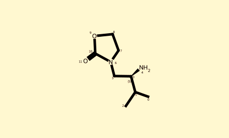 CC(C)[C@H](N)CN1CCOC1=O